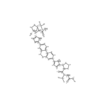 COC(=O)NC(C(=O)N1CCCC1c1ncc(-c2ccc3c(c2)CCc2cc(-c4cnc([C@@H]5[C@H]6CC[C@](C(C)(C)C)(C6)N5C(=O)O)[nH]4)ccc2-3)[nH]1)C(C)C